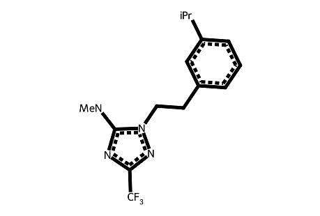 CNc1nc(C(F)(F)F)nn1CCc1cccc(C(C)C)c1